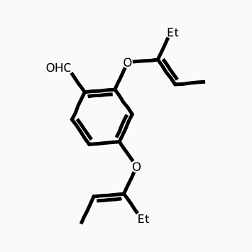 CC=C(CC)Oc1ccc(C=O)c(OC(=CC)CC)c1